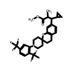 COC(=O)C(C)C(c1ccc2c(c1)OC1(CC2)CCN(c2cc(C(F)(F)F)ccc2C(F)(F)F)CC1)C1CC1